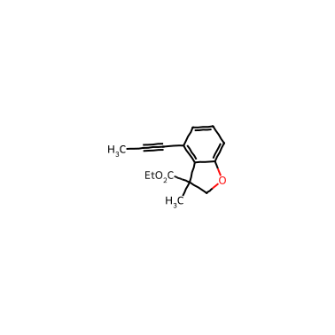 CC#Cc1cccc2c1C(C)(C(=O)OCC)CO2